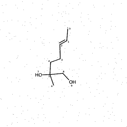 [CH2]/C=C/CCC(C)(O)CO